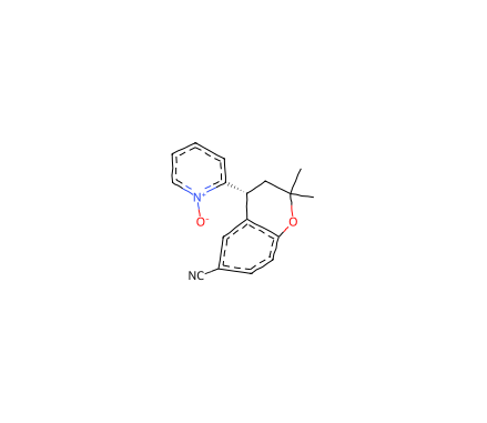 CC1(C)C[C@@H](c2cccc[n+]2[O-])c2cc(C#N)ccc2O1